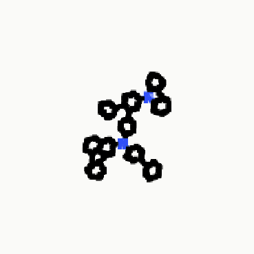 c1ccc(-c2ccc(N(c3ccc(-c4cc(-n5c6ccccc6c6ccccc65)ccc4-c4ccccc4)cc3)c3cc4c5c(cccc5c3)-c3ccccc3-4)cc2)cc1